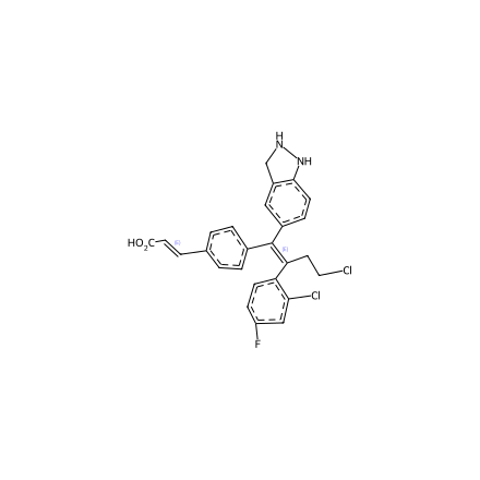 O=C(O)/C=C/c1ccc(/C(=C(/CCCl)c2ccc(F)cc2Cl)c2ccc3c(c2)CNN3)cc1